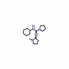 CN1CCCC1=[N+]=C(NC1CCCCC1)N1CCCC1